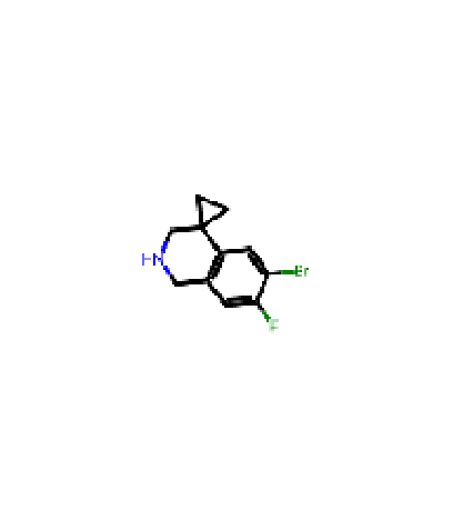 Fc1cc2c(cc1Br)C1(CC1)CNC2